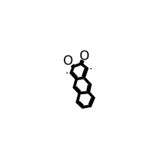 O=C1[C]=c2cc3ccccc3cc2=[C]C1=O